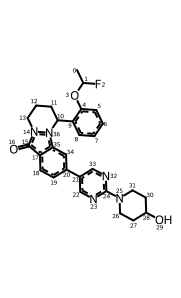 CC(F)Oc1ccccc1C1CCCn2c(=O)c3ccc(-c4cnc(N5CCC(O)CC5)nc4)cc3n21